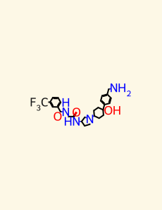 NCc1ccc(C2(O)CCC(N3CC[C@@H](NC(=O)CNC(=O)c4cccc(C(F)(F)F)c4)C3)CC2)cc1